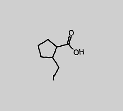 O=C(O)C1CCCC1CI